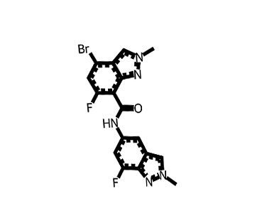 Cn1cc2cc(NC(=O)c3c(F)cc(Br)c4cn(C)nc34)cc(F)c2n1